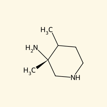 CC1CCNC[C@]1(C)N